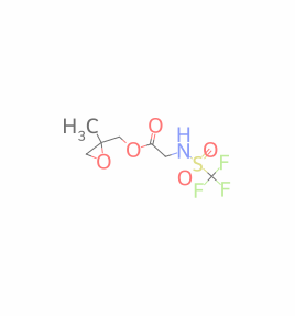 CC1(COC(=O)CNS(=O)(=O)C(F)(F)F)CO1